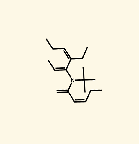 C=C(/C=C\CC)N(C(=C/C)/C(=C\CC)CC)C(C)(C)C